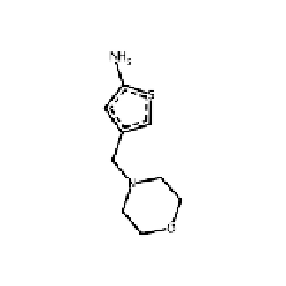 Nc1cc(CN2CCOCC2)cs1